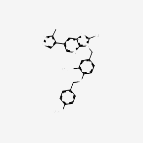 COc1ccc(COc2ccc(Cn3c(N)nc4cc(-c5c[nH]nc5C)cnc43)cc2OC)cc1